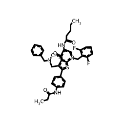 CCCCC(=O)Nc1cn(Cc2c(F)cccc2F)c2sc(-c3ccc(NC(=O)CC)cc3)c(CN(C)Cc3ccccc3)c2c1=O